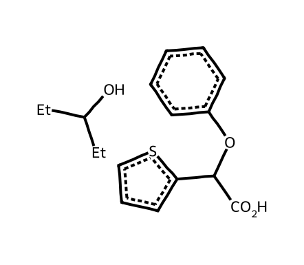 CCC(O)CC.O=C(O)C(Oc1ccccc1)c1cccs1